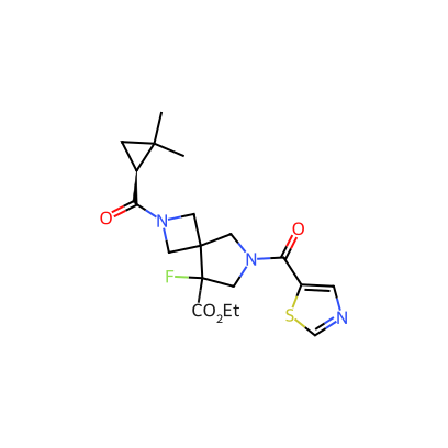 CCOC(=O)C1(F)CN(C(=O)c2cncs2)CC12CN(C(=O)[C@H]1CC1(C)C)C2